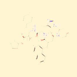 O=C(N[C@@H](Cc1c[nH]cn1)C(=O)N[C@@H](CC1CCCCC1)C(O)C(=O)OC1CCCC1)C(CC(=O)N1CCOCC1)Cc1cccc2ccccc12